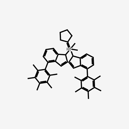 Cc1c(C)c(C)c(-c2cccc3c2C=C[CH]3[Hf]([CH3])([CH3])(=[C]2CCCC2)[CH]2C=Cc3c(-c4c(C)c(C)c(C)c(C)c4C)cccc32)c(C)c1C